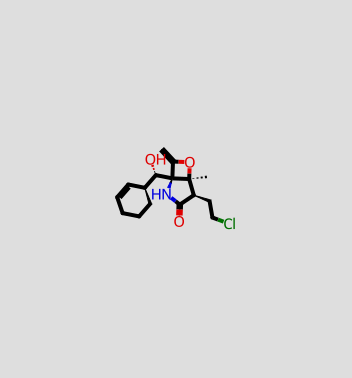 C=C1O[C@@]2(C)[C@@H](CCCl)C(=O)N[C@@]12[C@@H](O)[C@@H]1C=CCCC1